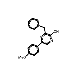 COc1ccc(-c2cnc(O)c(Cc3ccccc3)n2)cc1